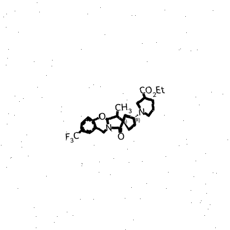 CCOC(=O)C1CCCN([C@@H]2CC[C@@]3(C2)C(=O)N2Cc4cc(C(F)(F)F)ccc4OC2C3C)C1